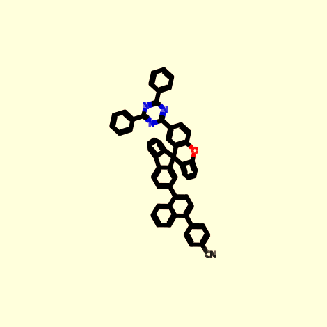 N#Cc1ccc(-c2ccc(-c3ccc4c(c3)C3(c5ccccc5Oc5ccc(-c6nc(-c7ccccc7)nc(-c7ccccc7)n6)cc53)c3ccccc3-4)c3ccccc23)cc1